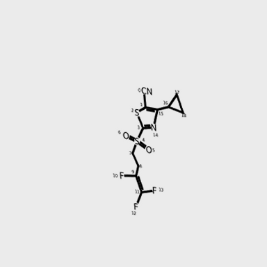 N#Cc1sc(S(=O)(=O)CCC(F)=C(F)F)nc1C1CC1